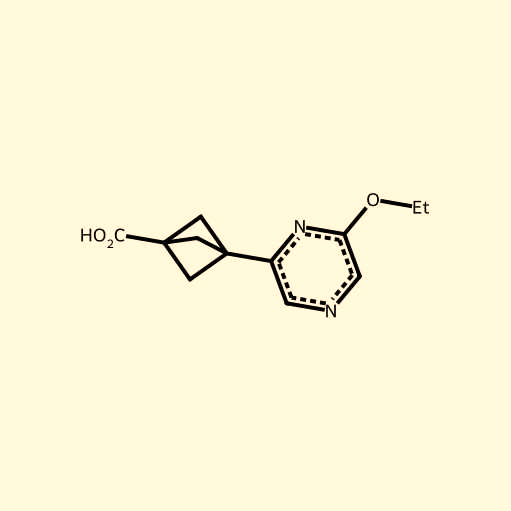 CCOc1cncc(C23CC(C(=O)O)(C2)C3)n1